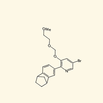 COCCOCOc1cc(Br)cnc1-c1ccc2c(c1)C1CCC2C1